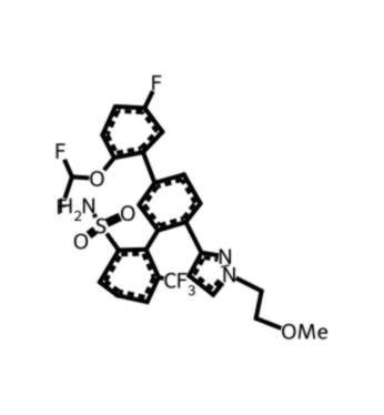 COCCn1ccc(-c2ccc(-c3cc(F)ccc3OC(F)F)cc2-c2c(C(F)(F)F)cccc2S(N)(=O)=O)n1